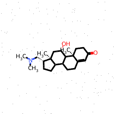 CN(C)C[C@H]1CCC2C3CCC4=CC(=O)CC[C@]4(C)C3[C@@H](O)C[C@@]21C